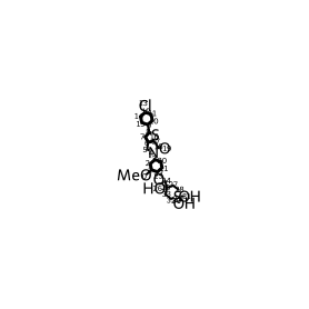 COc1cc(N2Cc3cc(-c4ccc(Cl)cc4)sc3C2=O)ccc1OCC1(O)CCS(O)(O)CC1